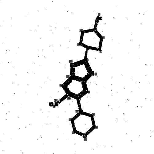 CC(=O)[C@H]1CC[C@H](c2nc3cc(N4CCOCC4)c([N+](=O)[O-])cc3o2)CC1